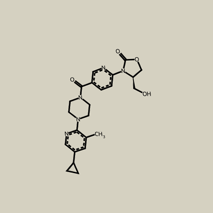 Cc1cc(C2CC2)cnc1N1CCN(C(=O)c2ccc(N3C(=O)OC[C@H]3CO)nc2)CC1